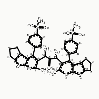 Cc1nc2sc3c(c2c(-c2ccc(S(C)(=O)=O)cc2)c1C(C)C(=O)C(C)c1c(C)nc2sc4c(c2c1-c1ccc(S(C)(=O)=O)cc1)CCC4)CCC3